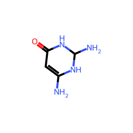 NC1=CC(=O)NC(N)N1